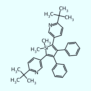 CC(C)(C)c1ccc(C2=C(c3ccccc3)C(c3ccccc3)=C(c3ccc(C(C)(C)C)nc3)[Si]2(C)C)cn1